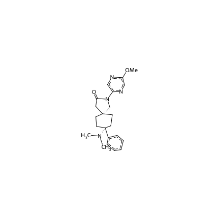 COc1cnc(N2C[C@]3(CC[C@@](c4ccccc4)(N(C)C)CC3)CC2=O)cn1